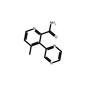 Cc1ccnc(C(N)=O)c1-c1cnccn1